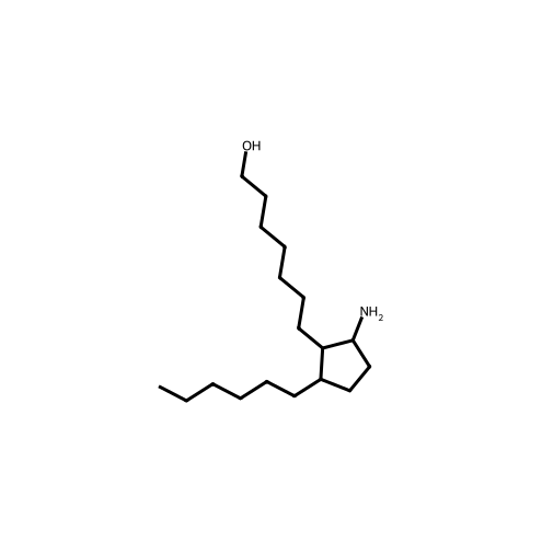 CCCCCCC1CCC(N)C1CCCCCCCO